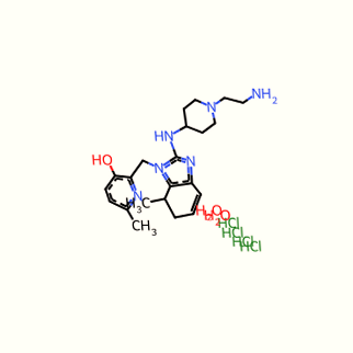 Cc1ccc(O)c(Cn2c(NC3CCN(CCN)CC3)nc3c2C(C)CC=C3)n1.Cl.Cl.Cl.Cl.O.O